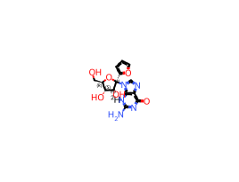 [2H]n1c(N)nc(=O)c2ncn([C@]3(c4ccco4)O[C@H](CO)[C@@H](O)[C@H]3O)c21